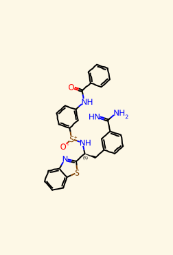 N=C(N)c1cccc(C[C@H](N[S+]([O-])c2cccc(NC(=O)c3ccccc3)c2)c2nc3ccccc3s2)c1